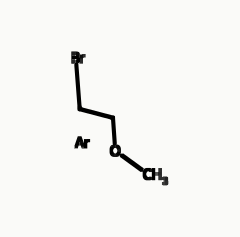 COCCBr.[Ar]